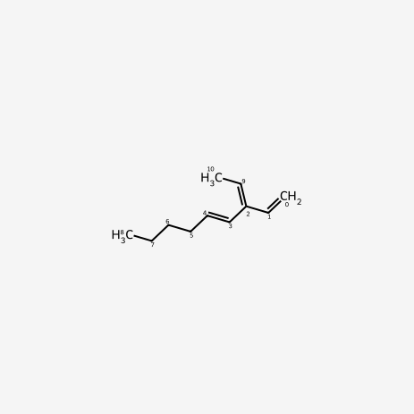 C=CC(C=CCCCC)=CC